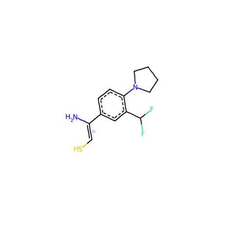 N/C(=C\S)c1ccc(N2CCCC2)c(C(F)F)c1